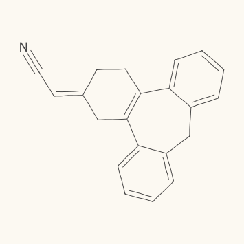 N#CC=C1CCC2=C(C1)c1ccccc1Cc1ccccc12